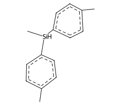 Cc1ccc([SiH](C)c2ccc(C)cc2)cc1